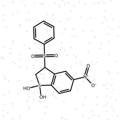 O=[N+]([O-])c1ccc2c(c1)C(S(=O)(=O)c1ccccc1)CS2(O)O